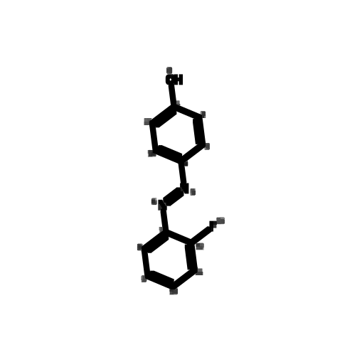 Oc1ccc(N=Nc2ccccc2F)cc1